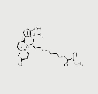 CN(C)C(=O)CCCCCCCCC1C[C@]2(C)C(O)CC[C@H]2[C@@H]2CCC3CC(=O)CC[C@]3(C)[C@H]12